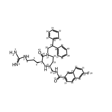 N=C(N)NCCC[C@@H]1N[C@H](CNC(=O)c2ccc3cc(F)ccc3c2)CCN(CC(c2ccccc2)c2ccccc2)C1=O